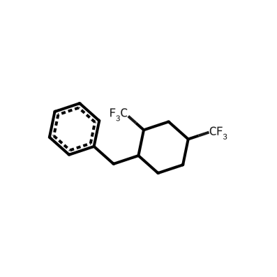 FC(F)(F)C1CCC(Cc2ccccc2)C(C(F)(F)F)C1